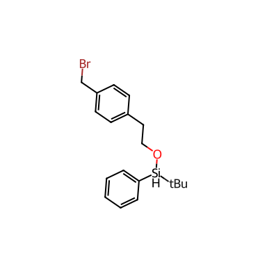 CC(C)(C)[SiH](OCCc1ccc(CBr)cc1)c1ccccc1